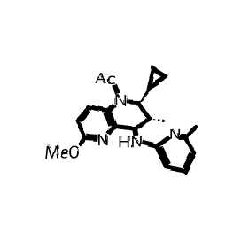 COc1ccc2c(n1)C(Nc1cccc(C)n1)[C@@H](C)[C@H](C1CC1)N2C(C)=O